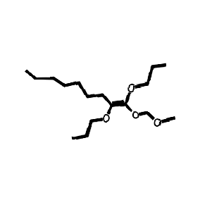 CCCCCCC/C(OCCC)=C(\OCCC)OCOC